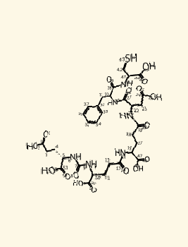 O=C(O)CC[C@H](NC(=O)N[C@@H](CCC(=O)NC(CCC(=O)NC(CC(=O)O)C(=O)NC(Cc1ccccc1)C(=O)NC(CS)C(=O)O)C(=O)O)C(=O)O)C(=O)O